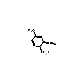 COC1=CC(=C=O)C(C(=O)O)C=C1